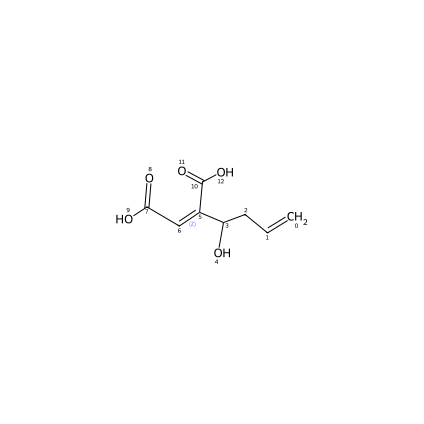 C=CCC(O)/C(=C/C(=O)O)C(=O)O